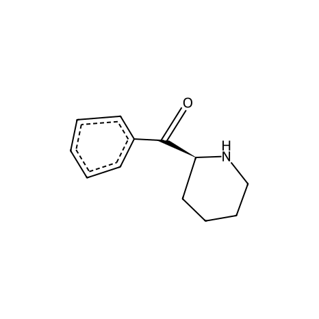 O=C(c1ccccc1)[C@@H]1CCCCN1